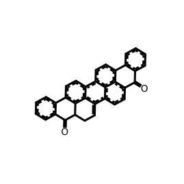 O=C1c2ccccc2-c2ccc3c4ccc5c6c4c(c4ccc1c2c43)=CCC6C(=O)c1ccccc1-5